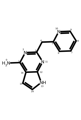 Nc1nc(Cc2ccccn2)nc2[nH]ccc12